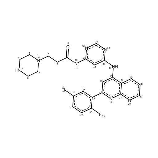 O=C(CCN1CCNCC1)Nc1cc(Nc2cc(-c3cc(Cl)ccc3F)nc3ncccc23)ncn1